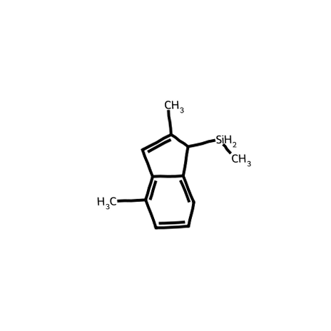 C[SiH2]C1C(C)=Cc2c(C)cccc21